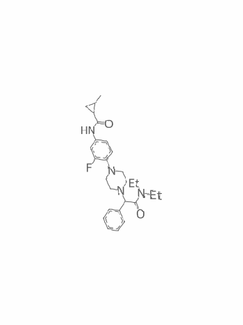 CCN(CC)C(=O)C(c1ccccc1)N1CCN(c2ccc(NC(=O)C3CC3C)cc2F)CC1